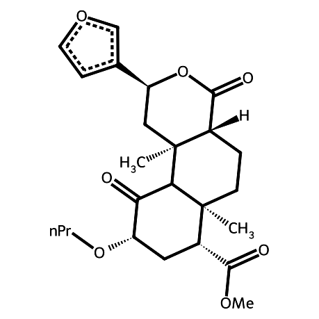 CCCO[C@H]1C[C@@H](C(=O)OC)[C@]2(C)CC[C@H]3C(=O)O[C@H](c4ccoc4)C[C@]3(C)C2C1=O